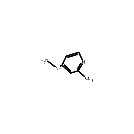 NNc1ccnc(C(Cl)(Cl)Cl)c1